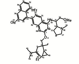 C=C(CC(C)(COc1nc(NC(COC)C2CCCN2C)c2cnc(-c3cc(N=O)cc4cccc(CC)c34)cc2n1)C1CC1CC)N(C)C